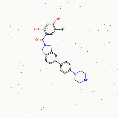 CC(C)c1cc(C(=O)N2Cc3ccc(-c4ccc(N5CCNCC5)cc4)cc3C2)c(O)cc1O